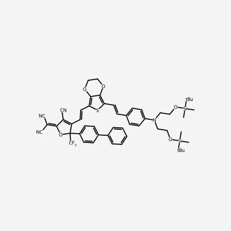 CC(C)(C)[Si](C)(C)OCCN(CCO[Si](C)(C)C(C)(C)C)c1ccc(/C=C/c2sc(/C=C/C3=C(C#N)C(=C(C#N)C#N)OC3(c3ccc(-c4ccccc4)cc3)C(F)(F)F)c3c2OCCO3)cc1